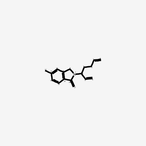 C=CCCC(C=C)N1Cc2cc(C)ccc2C1=C